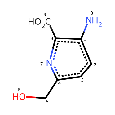 Nc1ccc(CO)nc1C(=O)O